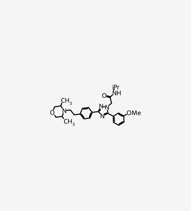 COc1cccc(-c2nc(-c3ccc(CCN4C(C)COCC4C)cc3)nn2CC(=O)NC(C)C)c1